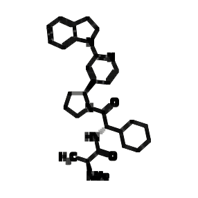 CN[C@@H](C)C(=O)N[C@H](C(=O)N1CCC[C@H]1c1ccnc(N2CCc3ccccc32)c1)C1CCCCC1